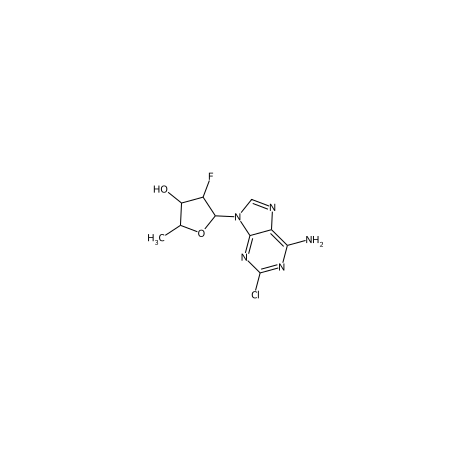 CC1OC(n2cnc3c(N)nc(Cl)nc32)C(F)C1O